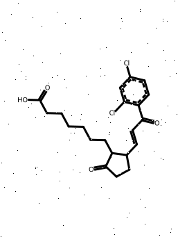 O=C(O)CCCCCCC1C(=O)CCC1C=CC(=O)c1ccc(Cl)cc1Cl